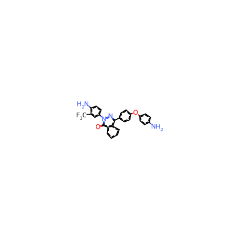 Nc1ccc(Oc2ccc(-c3nn(-c4ccc(N)c(C(F)(F)F)c4)c(=O)c4ccccc34)cc2)cc1